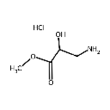 COC(=O)C(O)CN.Cl